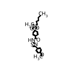 CCCCCCN(C)S(=O)(=O)c1ccc(C(=O)Nc2nc(-c3ccc(OC)cc3)cs2)cc1